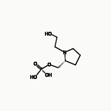 O=P(O)(O)OC[C@H]1CCCN1CCO